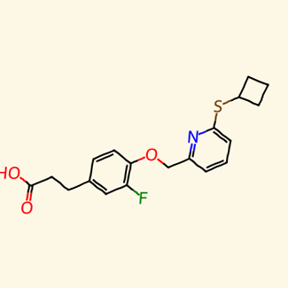 O=C(O)CCc1ccc(OCc2cccc(SC3CCC3)n2)c(F)c1